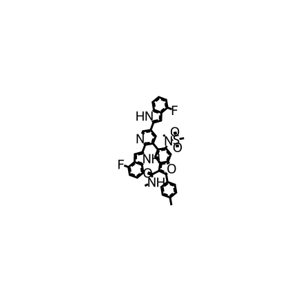 CNC(=O)c1c(-c2ccc(C)cc2)oc2cc(N(C)S(C)(=O)=O)c(-c3cc(-c4cc5c(F)cccc5[nH]4)cnc3-c3cc4c(F)cccc4[nH]3)cc12